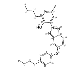 CCCCc1ccc(Sc2ccc3nn(-c4cc(C)cc(CCCC)c4O)nc3c2)cc1